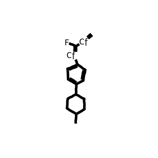 [CH2]=[Cf][C](F)=[Cf][c]1ccc(C2CCC(C)CC2)cc1